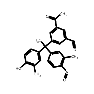 CC(=O)c1cc(C=O)cc(C(C)(c2ccc(O)c(C)c2)c2ccc(N=O)c(C)c2)c1